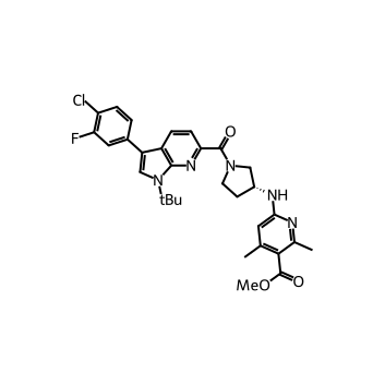 COC(=O)c1c(C)cc(N[C@@H]2CCN(C(=O)c3ccc4c(-c5ccc(Cl)c(F)c5)cn(C(C)(C)C)c4n3)C2)nc1C